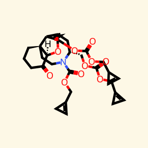 O=C(OCC1=CC1)OC[C@H]1Cc2ccc(OC(=O)OCC3C=C3)c3c2[C@@]2(CCCC(=O)[C@@H]2O3)CCN1C(=O)OCC1=CC1